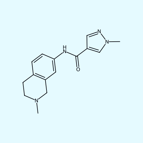 CN1CCc2ccc(NC(=O)c3cnn(C)c3)cc2C1